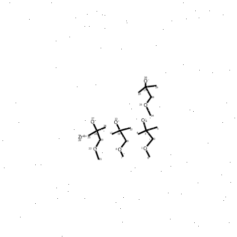 COCC(C)(C)[O-].COCC(C)(C)[O-].COCC(C)(C)[O-].COCC(C)(C)[O-].[Zr+4]